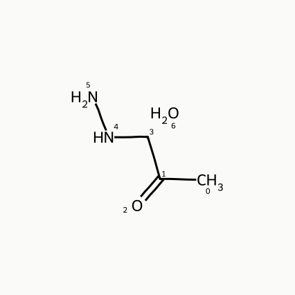 CC(=O)CNN.O